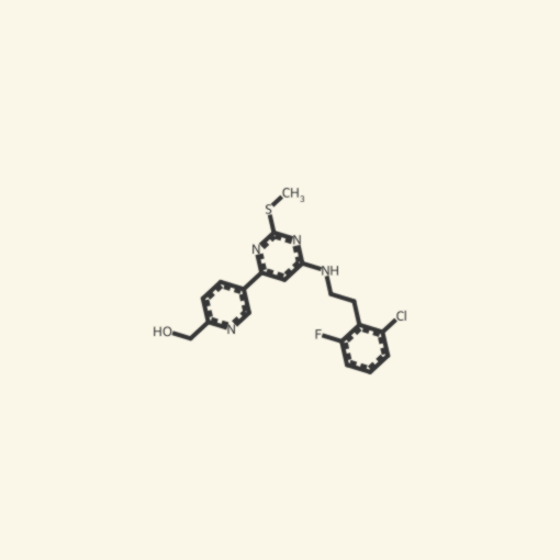 CSc1nc(NCCc2c(F)cccc2Cl)cc(-c2ccc(CO)nc2)n1